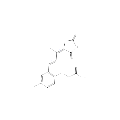 COC(=O)COc1ccc(Cl)cc1/C=C/C(C)=C1/SC(=S)NC1=O